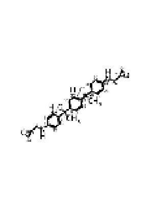 CC(C)(c1ccc(NCC2CO2)cc1)c1ccc(C(C)(C)c2ccc(NCC3CO3)cc2)cc1